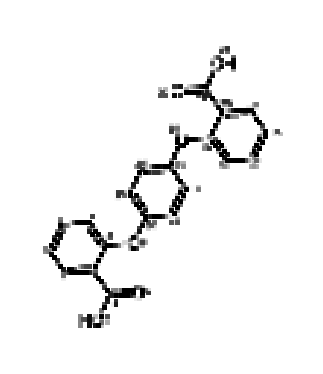 O=C(O)c1ccccc1Oc1ccc(Oc2ccccc2C(=O)O)cc1